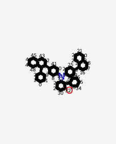 c1ccc(-c2c(-c3ccc(N(c4ccc(-c5cccc6ccccc56)cc4)c4cccc5oc6ccccc6c45)cc3)ccc3ccccc23)cc1